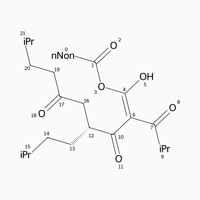 CCCCCCCCCC(=O)O/C(O)=C(/C(=O)C(C)C)C(=O)[C@H](CCC(C)C)CC(=O)CCC(C)C